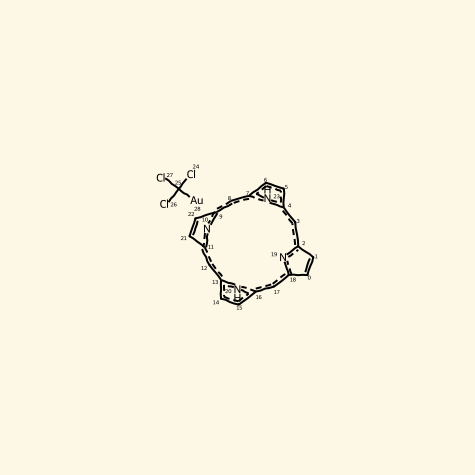 C1=Cc2cc3ccc(cc4nc(cc5ccc(cc1n2)[nH]5)C=C4)[nH]3.Cl[C](Cl)(Cl)[Au]